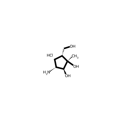 C[C@@]1(O)[C@@H](CO)C[C@@H](N)[C@@H]1O.Cl